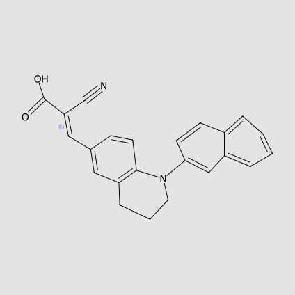 N#C/C(=C\c1ccc2c(c1)CCCN2c1ccc2ccccc2c1)C(=O)O